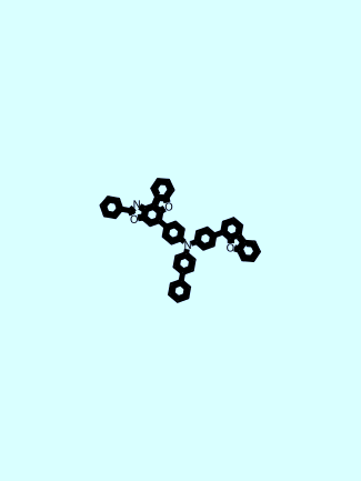 c1ccc(-c2ccc(N(c3ccc(-c4cccc5c4oc4ccccc45)cc3)c3ccc(-c4cc5oc(-c6ccccc6)nc5c5c4oc4ccccc45)cc3)cc2)cc1